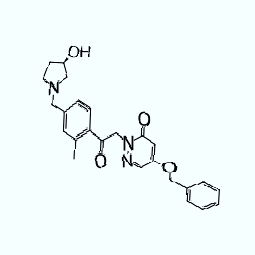 Cc1cc(CN2CC[C@@H](O)C2)ccc1C(=O)Cn1ncc(OCc2ccccc2)cc1=O